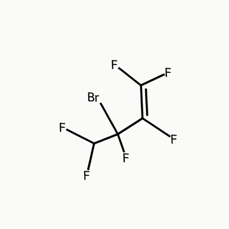 FC(F)=C(F)C(F)(Br)C(F)F